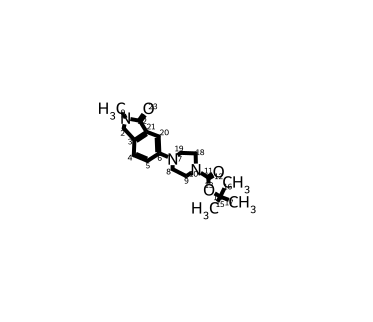 CN1Cc2ccc(N3CCN(C(=O)OC(C)(C)C)CC3)cc2C1=O